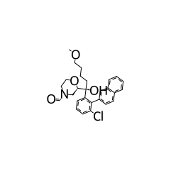 COCCCC[C@](O)(c1cccc(Cl)c1-c1ccc2ccccc2c1)[C@H]1CN(C=O)CCO1